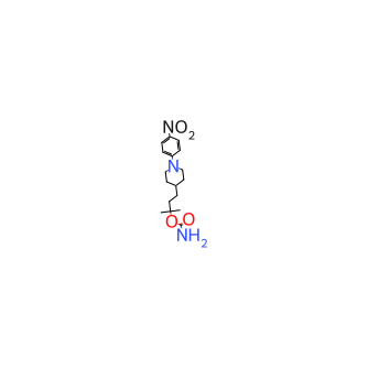 CC(C)(CCC1CCN(c2ccc([N+](=O)[O-])cc2)CC1)OC(N)=O